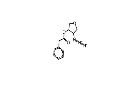 [N-]=[N+]=NC1COCC1OC(=O)Cc1ccccc1